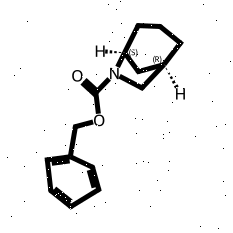 O=C(OCc1ccccc1)N1C[C@@H]2CCC[C@H]1C2